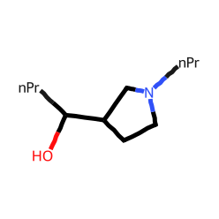 CCCC(O)C1CCN(CCC)C1